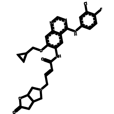 O=C(C=CCN1CC2CC(=O)OC2C1)Nc1cc2c(Nc3ccc(F)c(Cl)c3)ncnc2cc1OCC1CC1